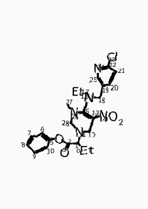 CCC(C(=O)Oc1ccccc1)N1CC([N+](=O)[O-])=C(N(CC)Cc2ccc(Cl)nc2)N(C)C1